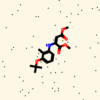 COC(=O)/C=C(/Nc1cccc(OC(C)(C)C)c1C)C(=O)OC